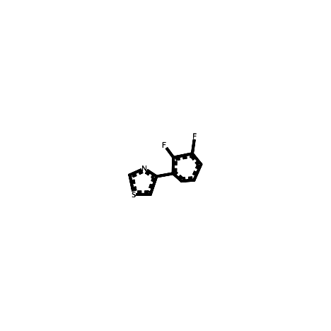 Fc1cccc(-c2cscn2)c1F